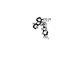 CC1=CC=CC(C(=O)O)C1(Cc1ccccn1)NS(=O)(=O)c1nc2nc(C)ccn2n1